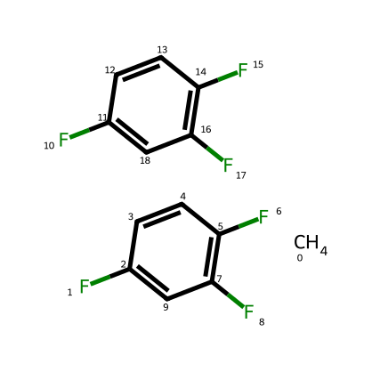 C.Fc1ccc(F)c(F)c1.Fc1ccc(F)c(F)c1